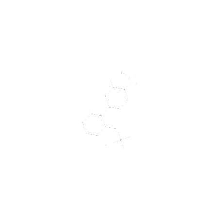 CS(=N)(=O)c1ccc(-c2ccccc2OC(F)(F)F)cc1Cl